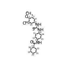 COc1ccc(NC(=S)Nc2ccc(NC(=O)c3ccccc3)cc2)cc1Cl